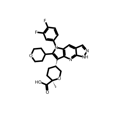 C[C@]1(C(=O)O)CC[C@H](c2c(C3CCOCC3)n(-c3ccc(F)c(F)c3)c3cc4cn[nH]c4nc23)CO1